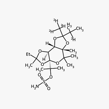 [2H]C([2H])([2H])C1(C([2H])(C)C)O[C@H]2[C@@H]3OC(C)(CC)O[C@]3(C(C)(C)OS(N)(=O)=O)OC(C)(C)[C@@]2(C)O1